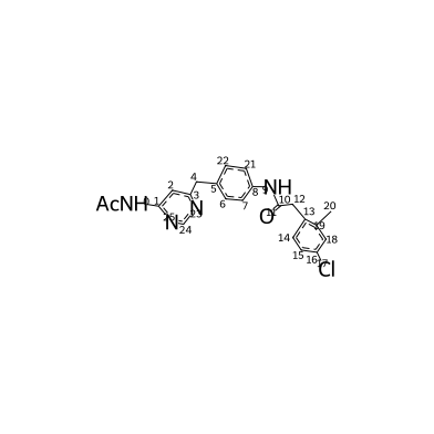 CC(=O)Nc1cc(Cc2ccc(NC(=O)Cc3ccc(Cl)cc3C)cc2)ncn1